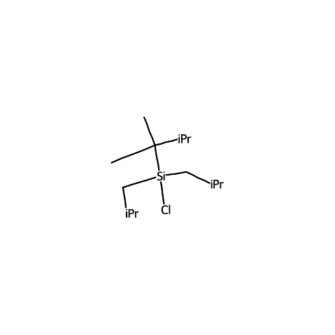 CC(C)C[Si](Cl)(CC(C)C)C(C)(C)C(C)C